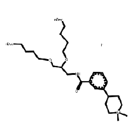 CCCCCCCCCCCCCCOCC(CNC(=O)c1cccc(C2CC[N+](C)(C)CC2)c1)OCCCCCCCCCCCCCC.[I-]